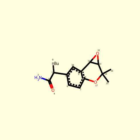 CCCCC(C(N)=O)c1ccc2c(c1)C1OC1C(C)(C)O2